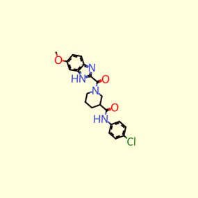 COc1ccc2nc(C(=O)N3CCCC(C(=O)Nc4ccc(Cl)cc4)C3)[nH]c2c1